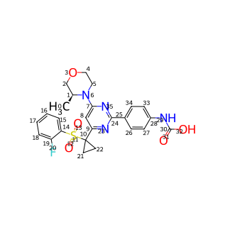 C[C@H]1COCCN1c1cc(C2(S(=O)(=O)c3ccccc3F)CC2)nc(-c2ccc(NC(=O)O)cc2)n1